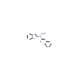 CC(C=O)C(c1cnc2ccccc2c1)c1cc2ccccc2[nH]1